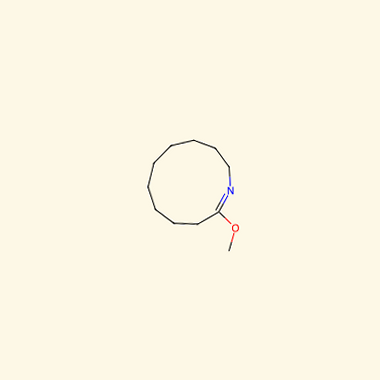 CO/C1=N/CCCCCCCCC1